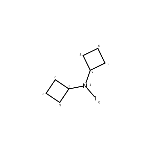 IN(C1CCC1)C1CCC1